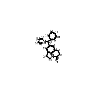 S=C1CCc2cc(C(c3ccccc3)n3ccnc3)cc3c2N1CC3